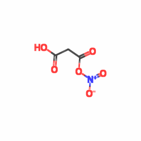 O=C(O)CC(=O)O[N+](=O)[O-]